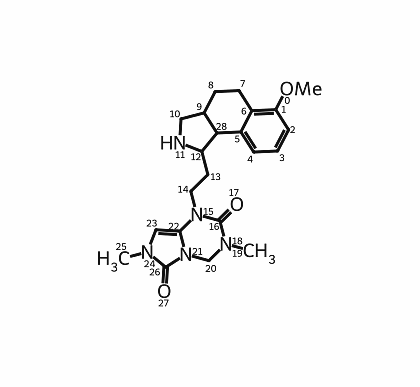 COc1cccc2c1CCC1CNC(CCN3C(=O)N(C)Cn4c3cn(C)c4=O)C21